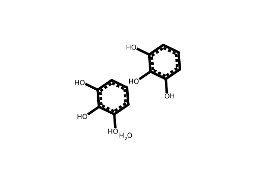 O.Oc1cccc(O)c1O.Oc1cccc(O)c1O